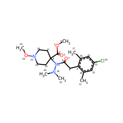 COC(=O)C1(N(C(=O)Cc2c(C)cc(Cl)cc2C)N(C)C)CCN(OC)CC1